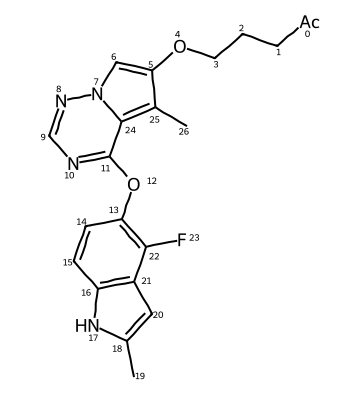 CC(=O)CCCOc1cn2ncnc(Oc3ccc4[nH]c(C)cc4c3F)c2c1C